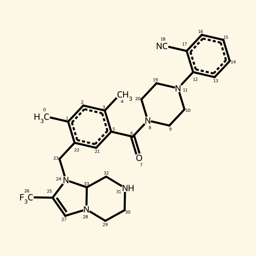 Cc1cc(C)c(C(=O)N2CCN(c3ccccc3C#N)CC2)cc1CN1C(C(F)(F)F)=CN2CCNCC21